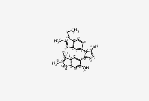 CCn1c(C)nc2cc(-n3c(S)nnc3-c3cc4c(C)c(C)[nH]c4cc3O)ccc21